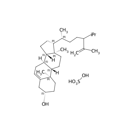 C=C(C)C(CC[C@@H](C)[C@H]1CC[C@H]2[C@@H]3CC=C4C[C@@H](O)CC[C@]4(C)[C@H]3CC[C@]12C)C(C)C.O=S(=O)(O)O